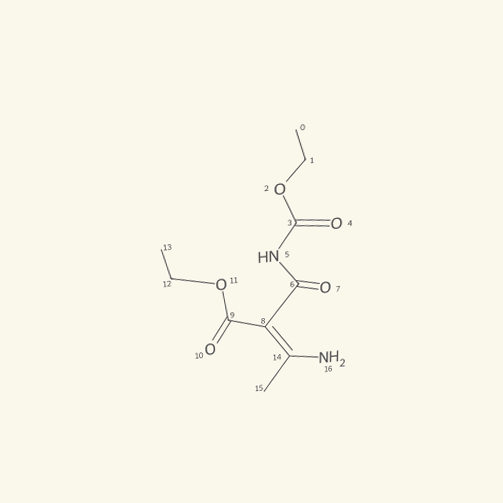 CCOC(=O)NC(=O)/C(C(=O)OCC)=C(/C)N